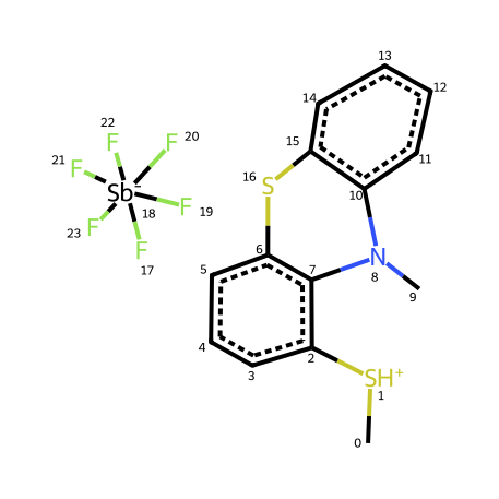 C[SH+]c1cccc2c1N(C)c1ccccc1S2.[F][Sb-]([F])([F])([F])([F])[F]